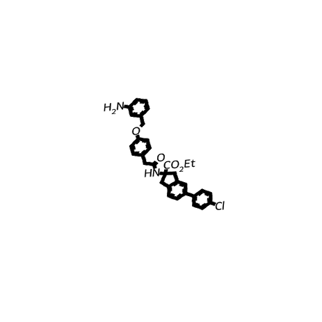 CCOC(=O)C1(NC(=O)Cc2ccc(OCc3cccc(N)c3)cc2)Cc2ccc(-c3ccc(Cl)cc3)cc2C1